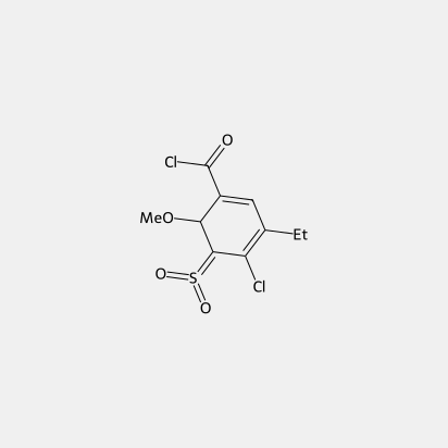 CCC1=C(Cl)C(=S(=O)=O)C(OC)C(C(=O)Cl)=C1